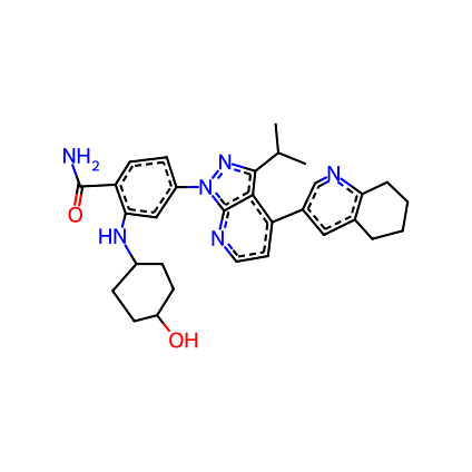 CC(C)c1nn(-c2ccc(C(N)=O)c(NC3CCC(O)CC3)c2)c2nccc(-c3cnc4c(c3)CCCC4)c12